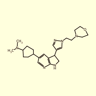 CN(C)C1CCC(c2cnc3c(c2)C(c2cnn(CCN4CCOCC4)c2)CN3)CC1